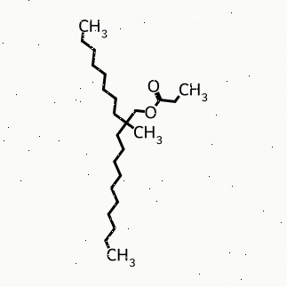 CCCCCCCCCCC(C)(CCCCCCCC)COC(=O)CC